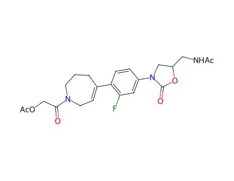 CC(=O)NCC1CN(c2ccc(C3=CCN(C(=O)COC(C)=O)CCC3)c(F)c2)C(=O)O1